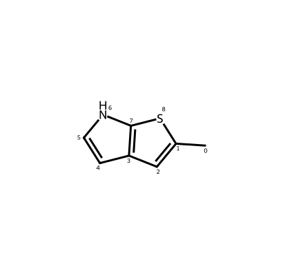 Cc1cc2cc[nH]c2s1